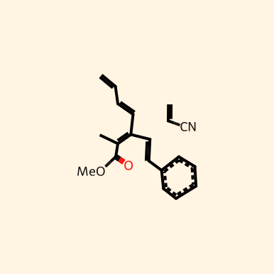 C=CC#N.C=CC=CC(C=Cc1ccccc1)=C(C)C(=O)OC